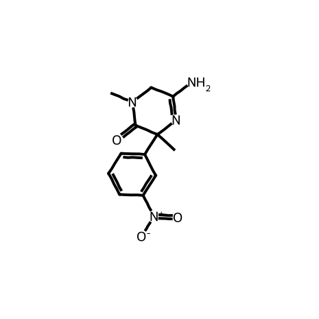 CN1CC(N)=NC(C)(c2cccc([N+](=O)[O-])c2)C1=O